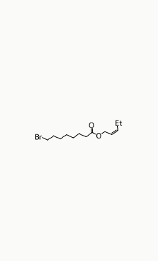 CC/C=C\COC(=O)CCCCCCCBr